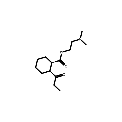 CCC(=O)[C@H]1CCCC[C@H]1C(=O)NCCN(C)C